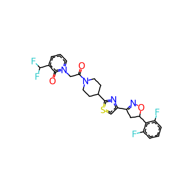 O=C(Cn1cccc(C(F)F)c1=O)N1CCC(c2nc(C3=NOC(c4c(F)cccc4F)C3)cs2)CC1